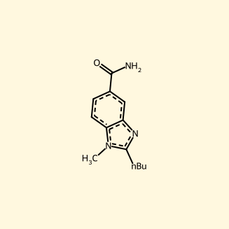 CCCCc1nc2cc(C(N)=O)ccc2n1C